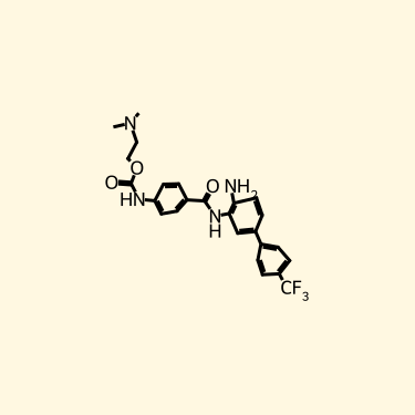 CN(C)CCOC(=O)Nc1ccc(C(=O)Nc2cc(-c3ccc(C(F)(F)F)cc3)ccc2N)cc1